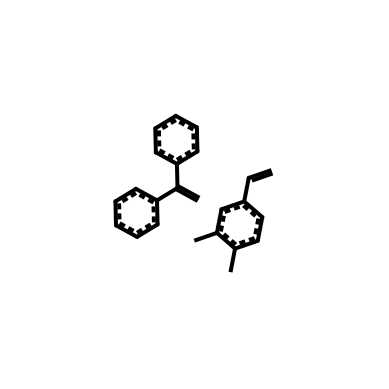 C=C(c1ccccc1)c1ccccc1.C=Cc1ccc(C)c(C)c1